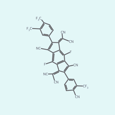 N#CC(C#N)=C1C(c2ccc(C#N)c(C(F)(F)F)c2)=C(C#N)c2c(F)c3c(c(F)c21)C(C#N)=C(c1ccc(C(F)(F)F)c(C(F)(F)F)c1)C3=C(C#N)C#N